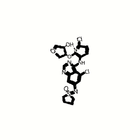 O=S1(=Nc2cc(Cl)c3c(Nc4ccc(Cl)nc4O[C@H]4COC[C@@H]4O)ncnc3c2)CCCC1